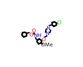 COc1ccc(CNC(=O)OCc2ccccc2)cc1OCCN1CCN(Cc2ccc(Cl)cc2)CC1